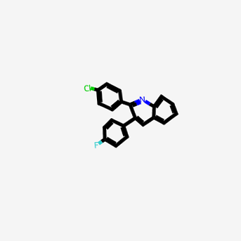 Fc1ccc(-c2cc3ccccc3nc2-c2ccc(Cl)cc2)cc1